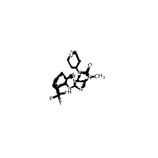 Cn1c(=O)n(C2CCOCC2)c2nc(Nc3c(C#N)cccc3C(F)(F)F)ncc21